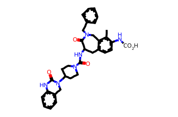 Cc1c(NC(=O)O)ccc2c1CN(Cc1ccccc1)C(=O)C(NC(=O)N1CCC(N3Cc4ccccc4NC3=O)CC1)C2